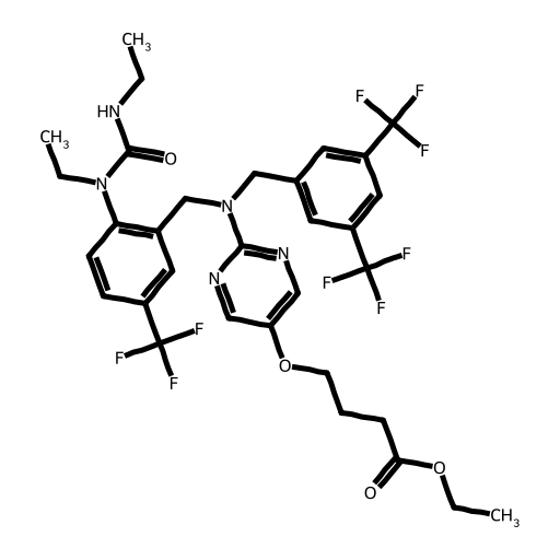 CCNC(=O)N(CC)c1ccc(C(F)(F)F)cc1CN(Cc1cc(C(F)(F)F)cc(C(F)(F)F)c1)c1ncc(OCCCC(=O)OCC)cn1